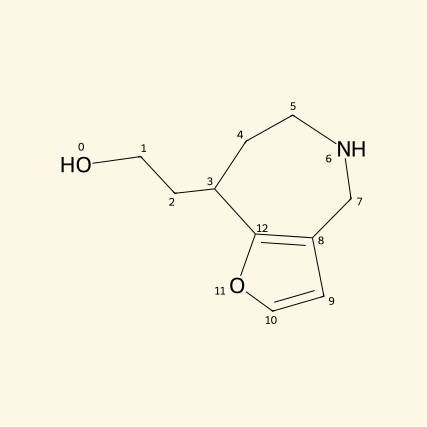 OCCC1CCNCc2ccoc21